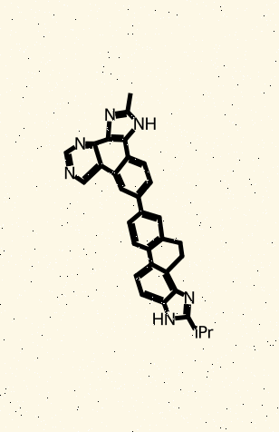 Cc1nc2c3ncncc3c3cc(-c4ccc5c(c4)CCc4c-5ccc5[nH]c(C(C)C)nc45)ccc3c2[nH]1